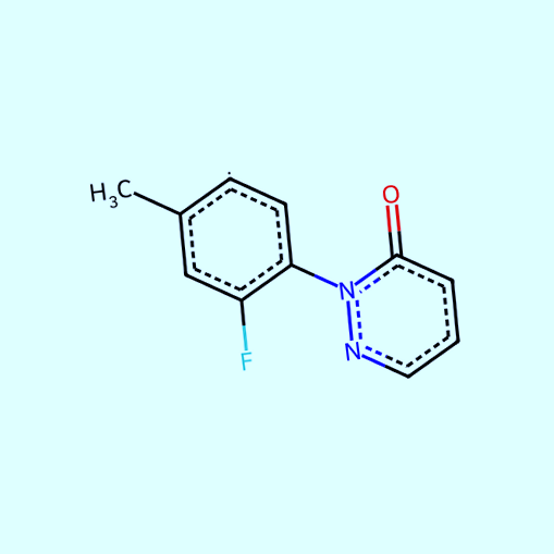 Cc1[c]cc(-n2ncccc2=O)c(F)c1